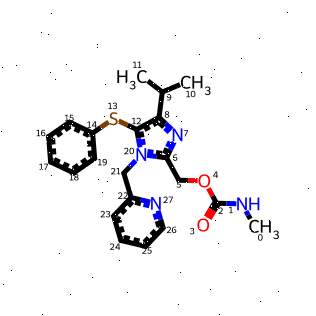 CNC(=O)OCc1nc(C(C)C)c(Sc2ccccc2)n1Cc1ccccn1